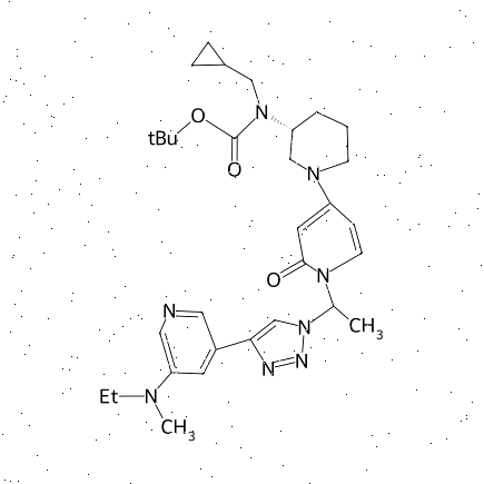 CCN(C)c1cncc(-c2cn(C(C)n3ccc(N4CCC[C@@H](N(CC5CC5)C(=O)OC(C)(C)C)C4)cc3=O)nn2)c1